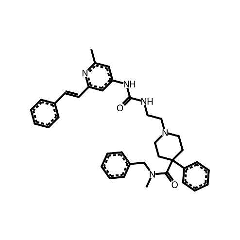 Cc1cc(NC(=O)NCCN2CCC(C(=O)N(C)Cc3ccccc3)(c3ccccc3)CC2)cc(C=Cc2ccccc2)n1